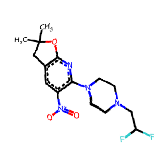 CC1(C)Cc2cc([N+](=O)[O-])c(N3CCN(CC(F)F)CC3)nc2O1